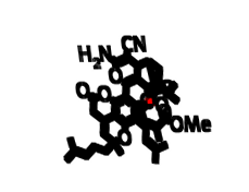 COC(=O)/C(C)=C\CC12OC(C)(C)C3CC(C1=O)C1C(C#N)=C(N)OC4=C1C32Oc1c(CC=C(C)C)c2c3c(c14)OC(=O)CC3=CC(C)(CCC=C(C)C)O2